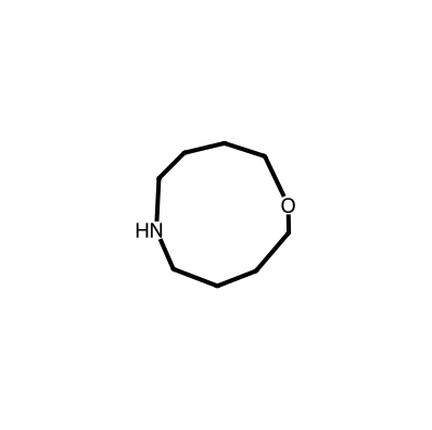 C1CCOCCCCNC1